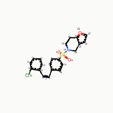 O=S(=O)(c1ccc(/C=C\c2ccccc2Cl)cc1)N1CCc2occc2C1